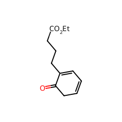 CCOC(=O)CCCC1=CC=CCC1=O